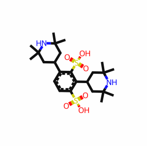 CC1(C)CC(c2ccc(S(=O)(=O)O)c(C3CC(C)(C)NC(C)(C)C3)c2S(=O)(=O)O)CC(C)(C)N1